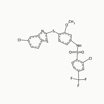 COc1cc(NS(=O)(=O)c2ccc(C(F)(F)F)cc2Cl)ccc1Sc1nc2cc(Cl)ccc2s1